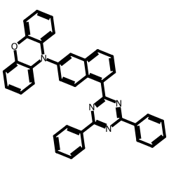 c1ccc(-c2nc(-c3ccccc3)nc(-c3cccc4cc(N5c6ccccc6Oc6ccccc65)ccc34)n2)cc1